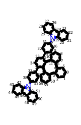 c1ccc2/c(c1)=c1/cccc/c1=c1\c(-c3ccc(-n4c5ccccc5c5ccccc54)cc3)ccc(-c3ccc(-n4c5ccccc5c5ccccc54)cc3)\c1=c1/cccc/c1=2